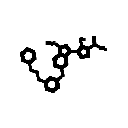 CC(C)(C)c1c(-c2cn(C(=O)O)c3ccc(Oc4cc(COCc5ccccc5)ncn4)cc23)[c]nn1C(N)=O